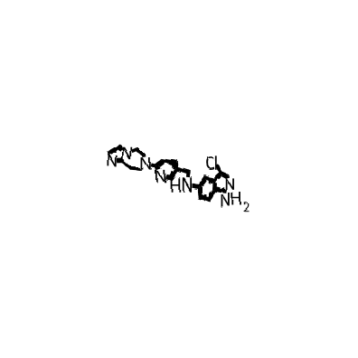 Nc1ncc(Cl)c2cc(NCc3ccc(N4CCc5nccn5CC4)nc3)ccc12